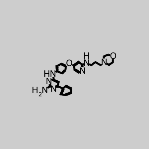 Nc1nc(Nc2ccc(Oc3ccnc(NCCCN4CCOCC4)c3)cc2)cc(-c2ccccc2)n1